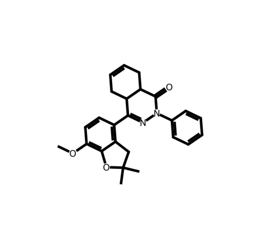 COc1ccc(C2=NN(c3ccccc3)C(=O)C3CC=CCC23)c2c1OC(C)(C)C2